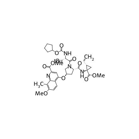 C=C[C@@H]1C[C@]1(NC(=O)[C@@H]1C[C@@H](Oc2cc(C(=O)OC)nc3c(C)c(OC)ccc23)CN1C(=O)[C@@H](NC(=O)OC1CCCC1)C(C)(C)C)C(=O)OC